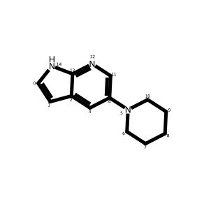 c1cc2cc(N3CCCCC3)cnc2[nH]1